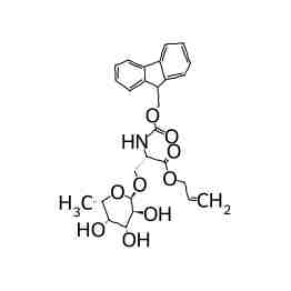 C=CCOC(=O)[C@H](CO[C@@H]1O[C@@H](C)[C@@H](O)[C@@H](O)[C@@H]1O)NC(=O)OCC1c2ccccc2-c2ccccc21